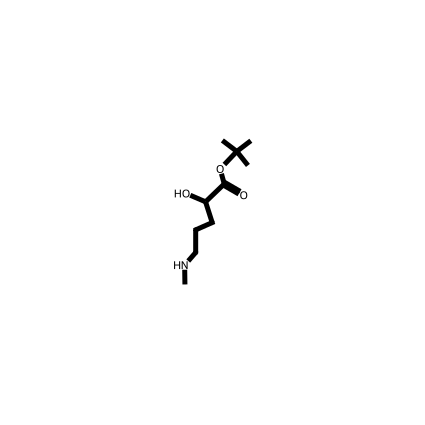 CNCCCC(O)C(=O)OC(C)(C)C